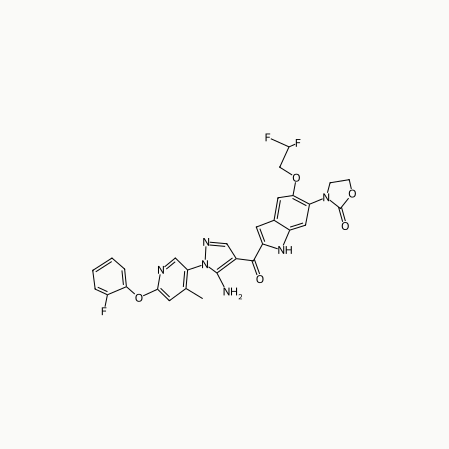 Cc1cc(Oc2ccccc2F)ncc1-n1ncc(C(=O)c2cc3cc(OCC(F)F)c(N4CCOC4=O)cc3[nH]2)c1N